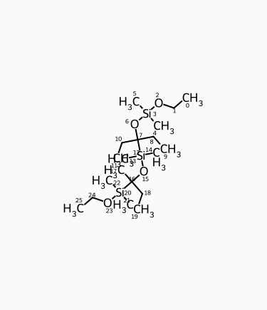 CCO[Si](C)(C)OC(CC)(CC)[Si](C)(C)OC(C)(CC)[Si](C)(C)OCC